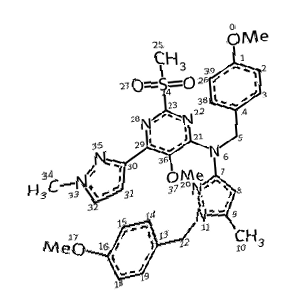 COc1ccc(CN(c2cc(C)n(Cc3ccc(OC)cc3)n2)c2nc(S(C)(=O)=O)nc(-c3ccn(C)n3)c2OC)cc1